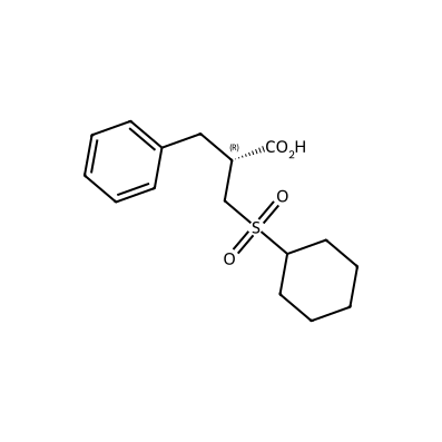 O=C(O)[C@@H](Cc1ccccc1)CS(=O)(=O)C1CCCCC1